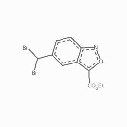 CCOC(=O)c1onc2ccc(C(Br)Br)cc12